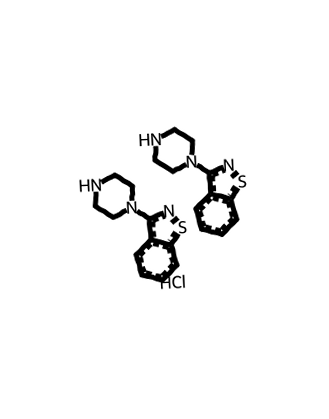 Cl.c1ccc2c(N3CCNCC3)nsc2c1.c1ccc2c(N3CCNCC3)nsc2c1